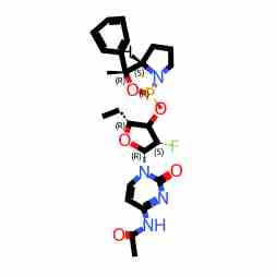 CC[C@H]1O[C@@H](n2ccc(NC(C)=O)nc2=O)[C@@H](F)C1O[P@@]1O[C@](C)(c2ccccc2)[C@@H]2CCCN21